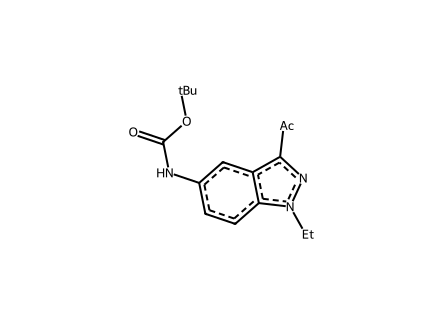 CCn1nc(C(C)=O)c2cc(NC(=O)OC(C)(C)C)ccc21